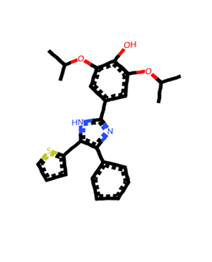 CC(C)Oc1cc(-c2nc(-c3ccccc3)c(-c3cccs3)[nH]2)cc(OC(C)C)c1O